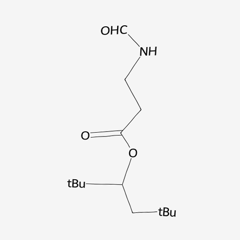 CC(C)(C)CC(OC(=O)CCNC=O)C(C)(C)C